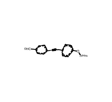 CCCCCCOc1ccc(C#Cc2ccc(C=O)cc2)cc1